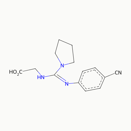 N#Cc1ccc(N=C(NCC(=O)O)N2CCCC2)cc1